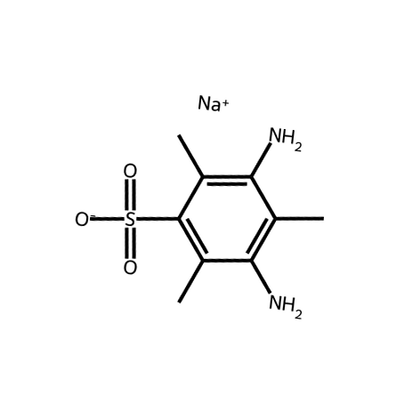 Cc1c(N)c(C)c(S(=O)(=O)[O-])c(C)c1N.[Na+]